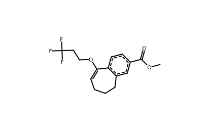 COC(=O)c1ccc2c(c1)CCCC=C2OCCC(F)(F)F